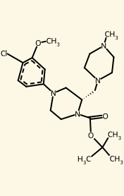 COc1cc(N2CCN(C(=O)OC(C)(C)C)[C@@H](CN3CCN(C)CC3)C2)ccc1Cl